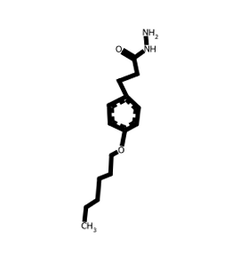 CCCCCCOc1ccc(CCC(=O)NN)cc1